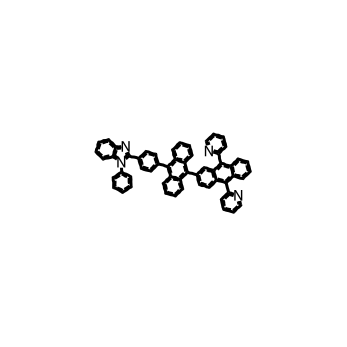 c1ccc(-n2c(-c3ccc(-c4c5ccccc5c(-c5ccc6c(-c7ccccn7)c7ccccc7c(-c7ccccn7)c6c5)c5ccccc45)cc3)nc3ccccc32)cc1